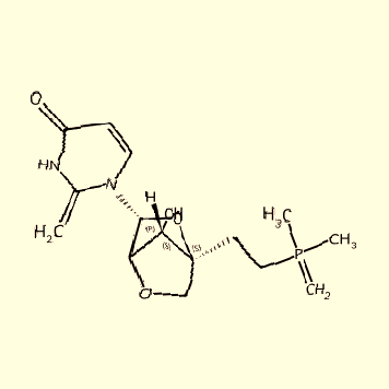 C=C1NC(=O)C=CN1[C@@H]1O[C@@]2(CCP(=C)(C)C)COC1[C@@H]2O